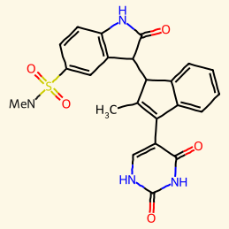 CNS(=O)(=O)c1ccc2c(c1)C(C1C(C)=C(c3c[nH]c(=O)[nH]c3=O)c3ccccc31)C(=O)N2